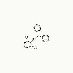 CC(c1ccccc1)c1ccccc1.CCc1cccc(CC)c1CC